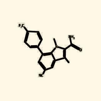 Cc1c(C(N)=O)n(C)c2c(-c3ccc(C(F)(F)F)cc3)cc(C#N)cc12